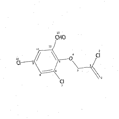 C=C(Cl)COc1c(Cl)cc(Cl)cc1C=O